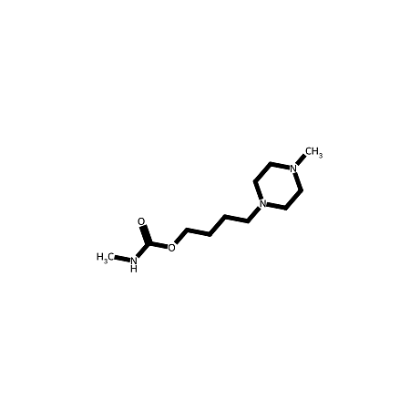 CNC(=O)OCCCCN1CCN(C)CC1